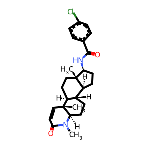 CN1C(=O)C=C[C@]2(C)[C@H]3CC[C@]4(C)[C@@H](NC(=O)c5ccc(Cl)cc5)CC[C@H]4[C@@H]3CC[C@@H]12